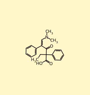 CCC(C(=O)O)(C(=O)C(=CN(C)C)c1ccccc1)c1ccccc1